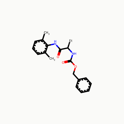 CCC(NC(=O)OCc1ccccc1)C(=O)Nc1c(C)cccc1C